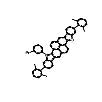 Cc1cccc(C)c1-c1ccc2c(c1)oc1c2cc2ccc3c4c(ccc1c24)cc1c2ccc(-c4c(C)cccc4C)cc2n(-c2cccc(C(C)C)c2)c13